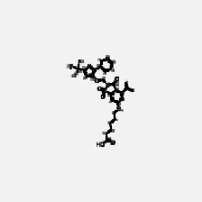 CC(C)c1cc(OCCCCCC(=O)O)cc2c1C(=O)N(COc1cc(C(F)(F)F)nn1-c1ccccc1)S2(=O)=O